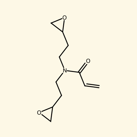 C=CC(=O)N(CCC1CO1)CCC1CO1